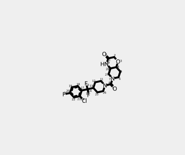 O=C1COC2CCN(C(=O)N3CCC(C(F)(F)c4ccc(F)cc4Cl)CC3)CC2N1